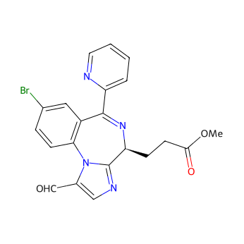 COC(=O)CC[C@@H]1N=C(c2ccccn2)c2cc(Br)ccc2-n2c(C=O)cnc21